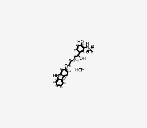 CS(=O)(=O)Nc1cc([C@@H](O)CNCCOc2ccc3c(c2)[nH]c2ccccc23)ccc1O.Cl